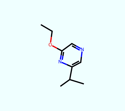 CCOc1cncc(C(C)C)n1